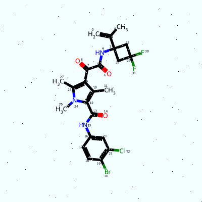 C=C(C)C1(NC(=O)C(=O)c2c(C)c(C(=O)Nc3ccc(Br)c(Cl)c3)n(C)c2C)CC(F)(F)C1